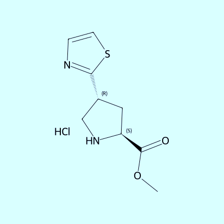 COC(=O)[C@@H]1C[C@@H](c2nccs2)CN1.Cl